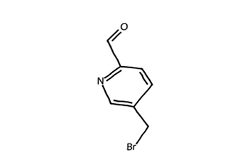 O=Cc1ccc(CBr)cn1